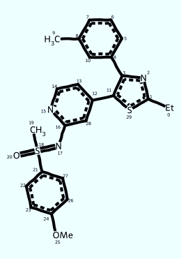 CCc1nc(-c2cccc(C)c2)c(-c2ccnc(N=S(C)(=O)c3ccc(OC)cc3)c2)s1